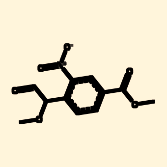 COC(=O)c1ccc(C(C=O)OC)c([N+](=O)[O-])c1